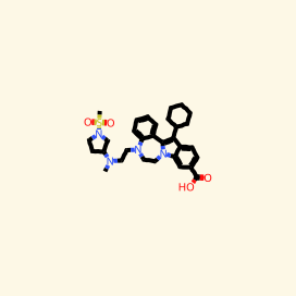 CN(CCN1CCn2c(c(C3CCCCC3)c3ccc(C(=O)O)cc32)-c2ccccc21)C1CCN(S(C)(=O)=O)C1